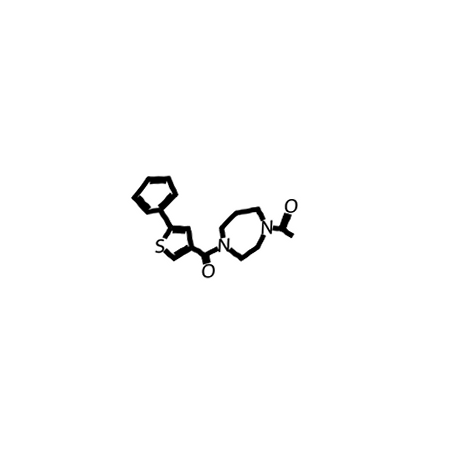 CC(=O)N1CCCN(C(=O)c2csc(-c3ccccc3)c2)CC1